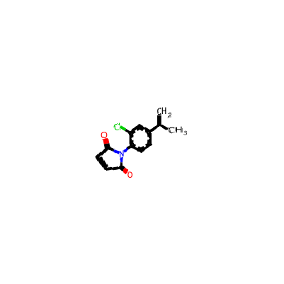 C=C(C)c1ccc(N2C(=O)C=CC2=O)c(Cl)c1